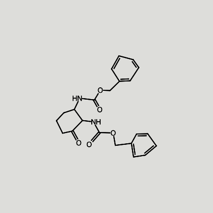 O=C(NC1CCCC(=O)C1NC(=O)OCc1ccccc1)OCc1ccccc1